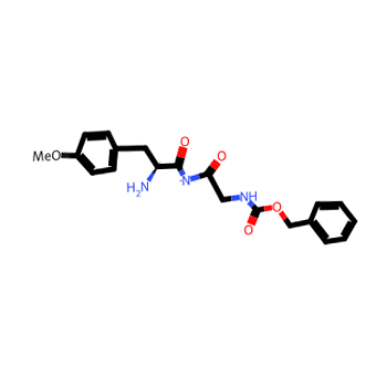 COc1ccc(C[C@H](N)C(=O)[N]C(=O)CNC(=O)OCc2ccccc2)cc1